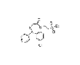 CCS(=O)(=O)CCN1C(=O)CN=C(c2ccccc2)c2cc(Cl)ccc21